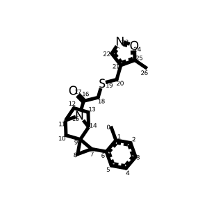 Cc1ccccc1C1CC12CC1CCC2N1C(=O)CSCc1cnoc1C